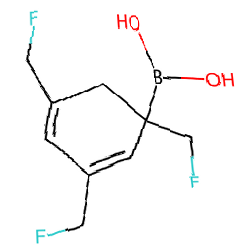 OB(O)C1(CF)C=C(CF)C=C(CF)C1